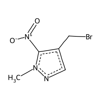 Cn1ncc(CBr)c1[N+](=O)[O-]